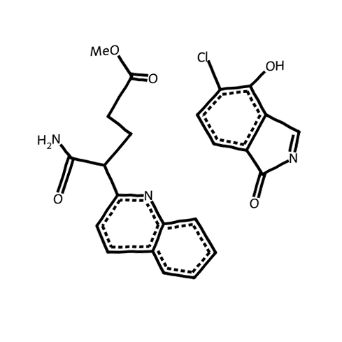 COC(=O)CCC(C(N)=O)c1ccc2ccccc2n1.O=C1N=Cc2c1ccc(Cl)c2O